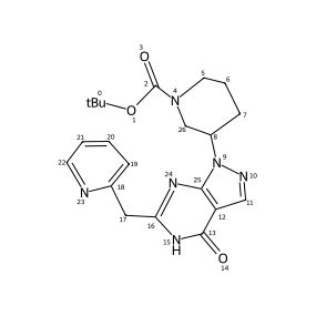 CC(C)(C)OC(=O)N1CCCC(n2ncc3c(=O)[nH]c(Cc4ccccn4)nc32)C1